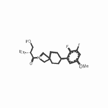 CC[C@H](CO)C(=O)N1CC2(CCC(c3cc(OC)cc(F)c3F)CC2)C1